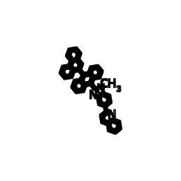 Cn1c(-c2c3ccccc3c(-c3cc4ccccc4c4ccccc34)c3ccccc23)nc2cc(-c3ccc4ccccc4n3)ccc21